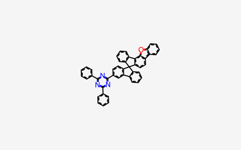 c1ccc(-c2nc(-c3ccccc3)nc(-c3ccc4c(c3)-c3ccccc3C43c4ccccc4-c4c3ccc3c4oc4ccccc43)n2)cc1